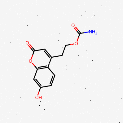 NC(=O)OCCc1cc(=O)oc2cc(O)ccc12